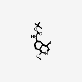 COc1ncc(I)c2cc(NC(=O)OC(C)(C)C)ccc12